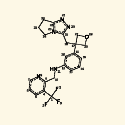 FC(F)(F)c1cccnc1CNc1cccc(C2(Cc3nnc4n3CCC4)COC2)c1